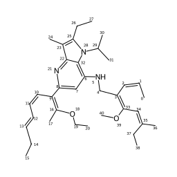 C\C=C/C(CNc1cc(C(/C=C\C=C\CC)=C(/C)OCC)nc2c(C)c(CC)n(C(C)C)c12)=C(\C=C(\C)CC)OC